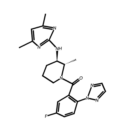 Cc1cc(C)nc(N[C@@H]2CCCN(C(=O)c3cc(F)ccc3-n3nccn3)[C@H]2C)n1